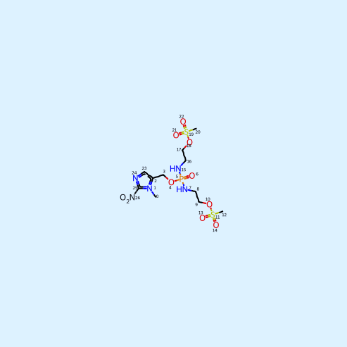 Cn1c(COP(=O)(NCCOS(C)(=O)=O)NCCOS(C)(=O)=O)cnc1[N+](=O)[O-]